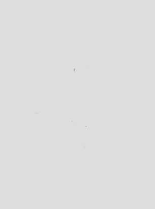 NS(=O)(=O)c1cc(NC(=O)Cc2ccccc2Cl)cc2cn(CN3CCC(O)CC3)nc12